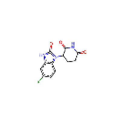 O=C1CCC(n2c(=O)[nH]c3cc(F)ccc32)C(=O)N1